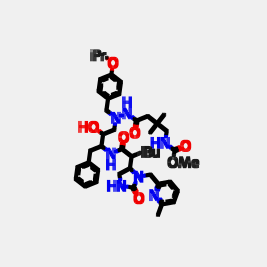 CCC(C)C(C(=O)NC(Cc1ccccc1)C(O)CN(Cc1ccc(OC(C)C)cc1)NC(=O)CC(C)(C)CNC(=O)OC)C1CNC(=O)N1Cc1cccc(C)n1